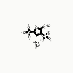 O=Cc1oc(S(=O)(=O)[O-])cc1S(=O)(=O)[O-].[Na+].[Na+]